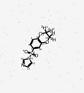 [2H]C1([2H])Oc2ccc(S(=O)(=O)n3ccnc3)cc2OC1([2H])[2H]